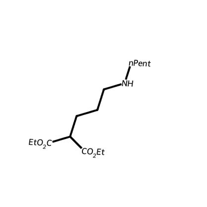 CCCCCNCCCC(C(=O)OCC)C(=O)OCC